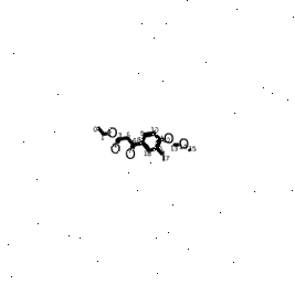 CCOC(=O)CC(=O)c1ccc(OCOC)c(I)c1